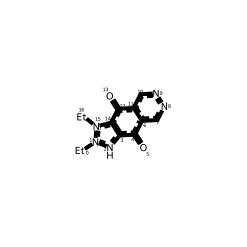 CCn1[nH]c2c(=O)c3cnncc3c(=O)c=2n1CC